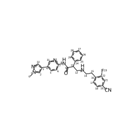 Cn1cc(-c2ccc(NC(=O)C(CNCCc3ccc(C#N)cc3F)c3ccccc3)nc2)cn1